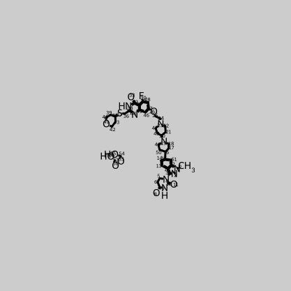 Cn1nc(N2CCC(=O)NC2=O)c2ccc(C3CCN(C4CCN(CCOc5cc(F)c6c(=O)[nH]c(CSC7CCOCC7)nc6c5)CC4)CC3)cc21.O=CO.O=CO